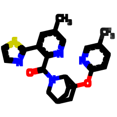 Cc1cnc(C(=O)N2CC3CCC2C(Oc2ccc(C(F)(F)F)cn2)C3)c(-c2nccs2)c1